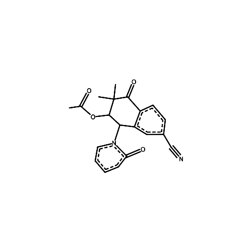 CC(=O)OC1C(n2ccccc2=O)c2cc(C#N)ccc2C(=O)C1(C)C